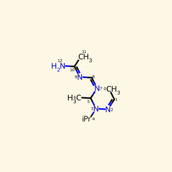 C/C=N\N(C(C)C)C(C)/N=C\N=C(/C)N